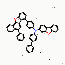 c1ccc(-c2ccc(N(c3ccc(-c4cccc5oc6c7ccccc7c(-c7ccccc7)cc6c45)cc3)c3ccc4c(c3)oc3ccccc34)cc2)cc1